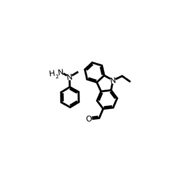 CCn1c2ccccc2c2cc(C=O)ccc21.CN(N)c1ccccc1